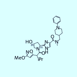 COc1cc(C(C(=O)N2C[C@H](O)C[C@H]2c2nc(C(=O)N(C)CC3CCN(c4ccccc4)CC3)c[nH]2)C(C)C)on1